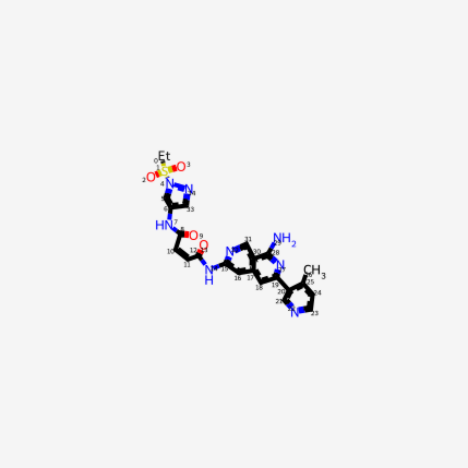 CCS(=O)(=O)n1cc(NC(=O)/C=C\C(=O)Nc2cc3cc(-c4cnccc4C)nc(N)c3cn2)cn1